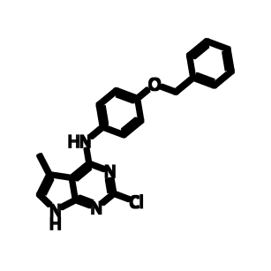 Cc1c[nH]c2nc(Cl)nc(Nc3ccc(OCc4ccccc4)cc3)c12